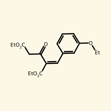 CCOC(=O)CC(=O)C(=Cc1cccc(OCC)c1)C(=O)OCC